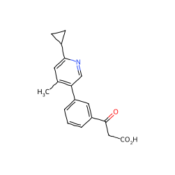 Cc1cc(C2CC2)ncc1-c1cccc(C(=O)CC(=O)O)c1